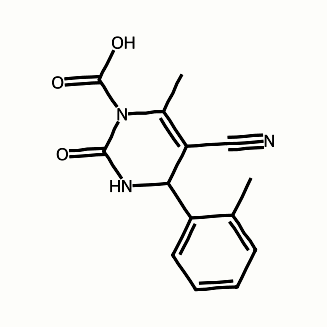 CC1=C(C#N)C(c2ccccc2C)NC(=O)N1C(=O)O